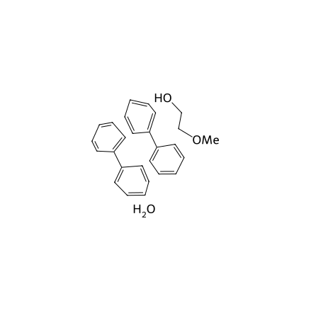 COCCO.O.c1ccc(-c2ccccc2)cc1.c1ccc(-c2ccccc2)cc1